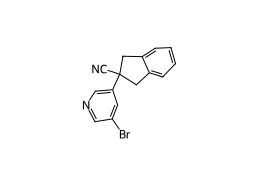 N#CC1(c2cncc(Br)c2)Cc2ccccc2C1